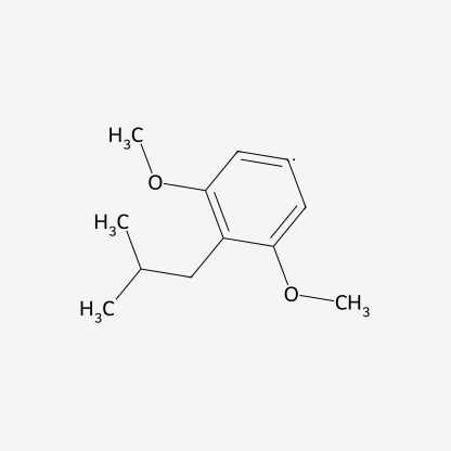 COc1c[c]cc(OC)c1CC(C)C